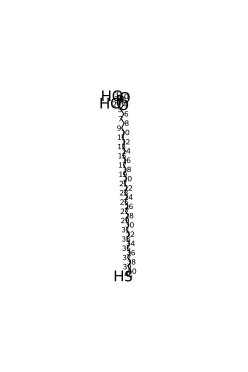 O=P(O)(O)OCCCCCCCCCCCCCCCCCCCCCCCCCCCCCCCCCCCCS